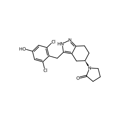 O=C1CCCN1[C@@H]1CCc2n[nH]c(Cc3c(Cl)cc(O)cc3Cl)c2C1